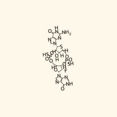 Nc1nc2c(ncn2[C@@H]2S[C@@H]3CO[P@@](=O)(S)O[C@H]4[C@H](F)[C@H](n5cnc6c(=O)[nH]cnc65)O[C@@H]4CO[P@@](=O)(S)O[C@@H]2[C@@H]3O)c(=O)[nH]1